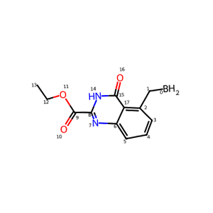 BCc1cccc2nc(C(=O)OCC)[nH]c(=O)c12